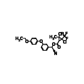 CCOc1ccc(Oc2cccc(C(C#N)OC(=O)C3C(C)(C)C3(Cl)C(F)(F)F)c2)cc1